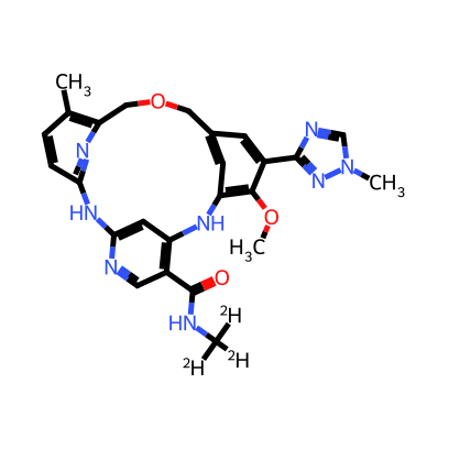 [2H]C([2H])([2H])NC(=O)c1cnc2cc1Nc1cc(cc(-c3ncn(C)n3)c1OC)COCc1nc(ccc1C)N2